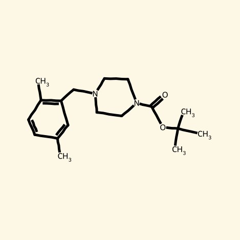 Cc1ccc(C)c(CN2CCN(C(=O)OC(C)(C)C)CC2)c1